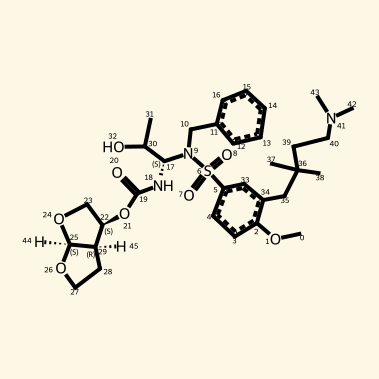 COc1ccc(S(=O)(=O)N(Cc2ccccc2)[C@H](NC(=O)O[C@@H]2CO[C@@H]3OCC[C@@H]32)C(C)O)cc1CC(C)(C)CCN(C)C